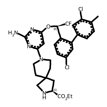 CCOC(=O)[C@@H]1CC2(CCN(c3cc(O[C@H](c4ccc(Cl)cc4-c4ccc(C)c(Cl)c4)C(F)(F)F)nc(N)n3)CC2)CN1